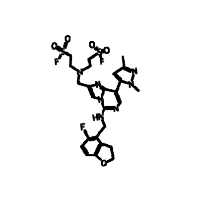 Cc1cc(-c2cnc(NCc3c(F)ccc4c3CCO4)n3cc(CN(CCS(=O)(=O)F)CCS(=O)(=O)F)nc23)n(C)n1